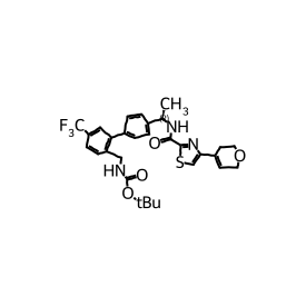 C[C@@H](NC(=O)c1nc(C2=CCOCC2)cs1)c1ccc(-c2cc(C(F)(F)F)ccc2CNC(=O)OC(C)(C)C)cc1